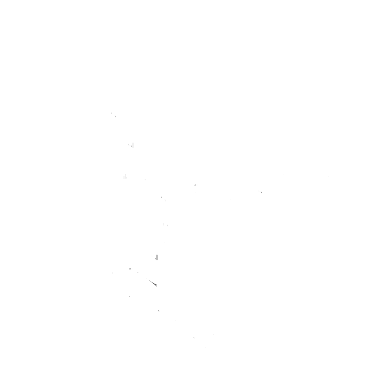 O=C1N[C@]2(C(=O)NS(=O)(=O)C3CC3)C[C@H]2C=CCCCCC[C@H](Nc2nc(-c3ccccc3)cs2)C(=O)N2C[C@H](OC(=O)N3Cc4cccc(F)c4C3)C[C@@H]12